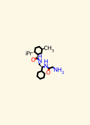 CC(C)[C@@H]1CC[C@@H](C)C[C@H]1C(=O)NC[C@@H](NC(=O)CN)C1CCCCC1